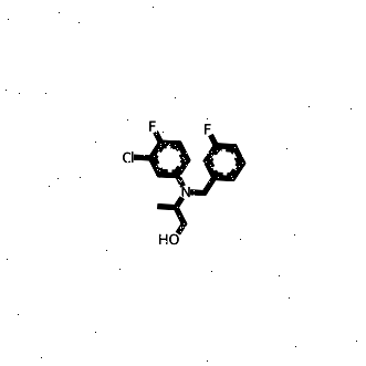 CC(CO)N(Cc1cccc(F)c1)c1ccc(F)c(Cl)c1